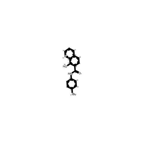 CC(C)(C)c1ccc(NC(=O)c2ccc3cccnc3c2O)cc1